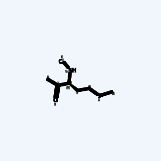 CSCC[C@H](NCl)C(C)=O